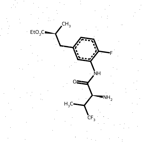 CCOC(=O)[C@@H](C)Cc1ccc(F)c(NC(=O)[C@@H](N)C(C)C(F)(F)F)c1